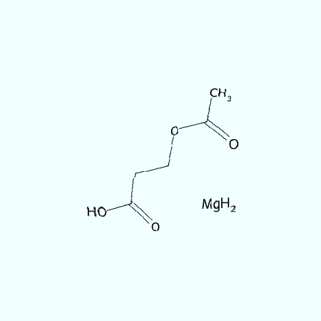 CC(=O)OCCC(=O)O.[MgH2]